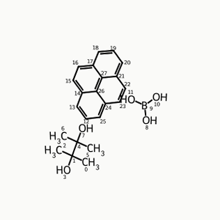 CC(C)(O)C(C)(C)O.OB(O)O.c1cc2ccc3cccc4ccc(c1)c2c34